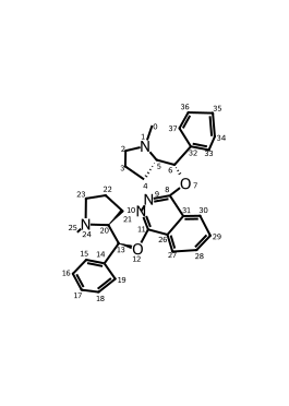 CN1CCC[C@H]1[C@@H](Oc1nnc(O[C@@H](c2ccccc2)[C@@H]2CCCN2C)c2ccccc12)c1ccccc1